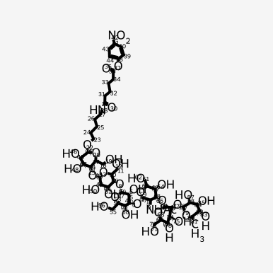 CC(=O)NC1[C@H](O[C@@H]2C(O)[C@@H](O[C@H]3C(CO)O[C@@H](O[C@@H]4C(CO)O[C@@H](OCCCCCNC(=O)CCCCC(=O)Oc5ccc([N+](=O)[O-])cc5)C(O)[C@H]4O)C(O)[C@H]3O)OC(CO)[C@@H]2O)OC(CO)[C@H](O)[C@@H]1O[C@@H]1OC(CO)[C@H](O)[C@H](O)C1O[C@@H]1OC(C)[C@@H](O)C(O)[C@@H]1O